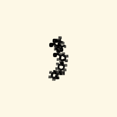 CC(=O)N([C@@H](CNC(=O)c1cccc(N2CCC(Nc3ncccn3)CC2)c1)C(=O)O)C(C)(C)C